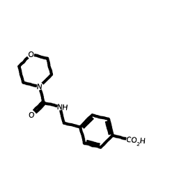 O=C(O)c1ccc(CNC(=O)N2CCOCC2)cc1